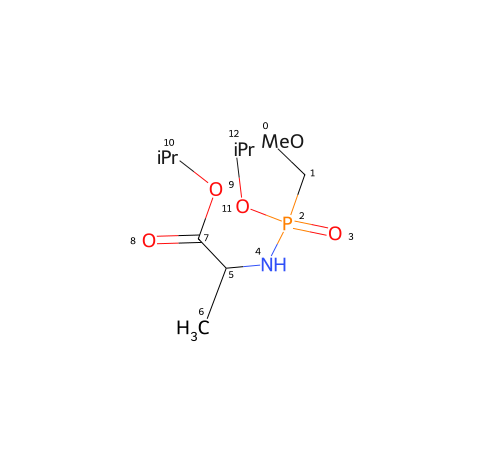 COCP(=O)(NC(C)C(=O)OC(C)C)OC(C)C